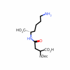 CCCCCCCCCCC(CC(=O)N[C@@H](CCCCN)C(=O)O)C(=O)O